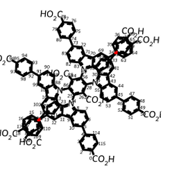 O=C(O)c1ccc(-c2ccc3c(c2)c2cc(-c4ccc(C(=O)O)cc4)ccc2n3-c2c(C(=O)O)c(-n3c4ccc(-c5ccc(C(=O)O)cc5)cc4c4cc(-c5ccc(C(=O)O)cc5)ccc43)c(-n3c4ccc(-c5ccc(C(=O)O)cc5)cc4c4cc(-c5ccc(C(=O)O)cc5)ccc43)c(C(=O)O)c2-n2c3ccc(-c4ccc(C(=O)O)cc4)cc3c3cc(-c4ccc(C(=O)O)cc4)ccc32)cc1